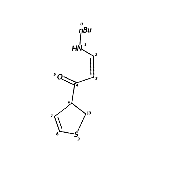 CCCCN/C=C\C(=O)C1C=CSC1